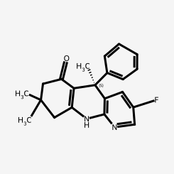 CC1(C)CC(=O)C2=C(C1)Nc1ncc(F)cc1[C@]2(C)c1ccccc1